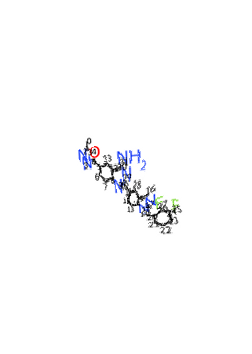 Cc1nnc(-c2ccc3nc(-c4ccc5c(cnn5Cc5cccc(F)c5F)c4)nc(N)c3c2)o1